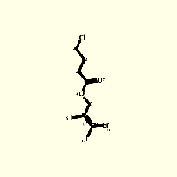 O=C(CCCCl)OC/C(I)=C(\Br)I